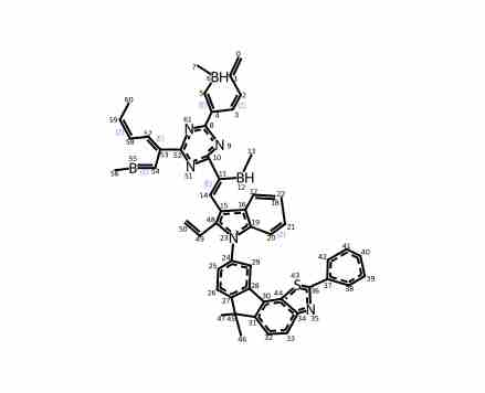 C=C/C=C\C(=C/BC)c1nc(/C(BC)=C/c2c(C=C)c(/C=C\C)n(-c3ccc4c(c3)-c3c(ccc5nc(-c6ccccc6)sc35)C4(C)C)c2C=C)nc(C(/C=B\C)=C/C=C\C)n1